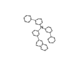 c1ccc(-c2cccc(N(c3cccc(-c4ccccc4)c3)c3cccc(-c4ccc5ccccc5c4)c3)c2)cc1